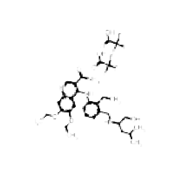 CCOc1cc2ncc(C(N)=O)c(Nc3cccc(CNC(CO)CC(C)C)c3CC)c2cc1OCC.O=C(O)C(F)(F)F.O=C(O)C(F)(F)F